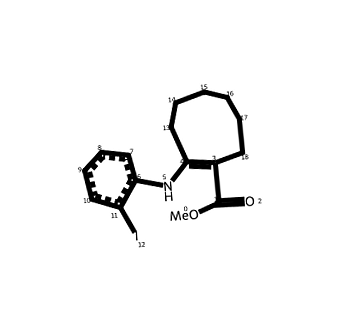 COC(=O)C1=C(Nc2ccccc2I)CCCCCC1